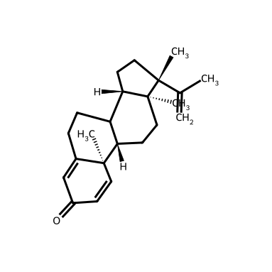 C=C(C)[C@@]1(C)CC[C@H]2C3CCC4=CC(=O)C=C[C@]4(C)[C@H]3CC[C@@]21C